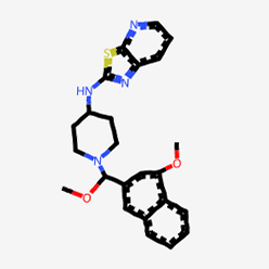 COc1cc(C(OC)N2CCC(Nc3nc4cccnc4s3)CC2)cc2ccccc12